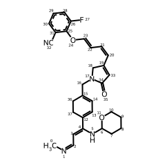 C/N=C\C=C(/NC1CCCCO1)C1=CC=C(CN2CC(/C=C\C=C\Oc3c(F)cccc3C#N)=CC2=O)CC1